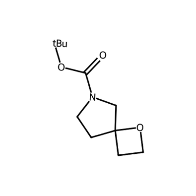 CC(C)(C)OC(=O)N1CCC2(CCO2)C1